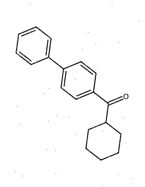 O=C(c1ccc(-c2ccccc2)cc1)C1CCCCC1